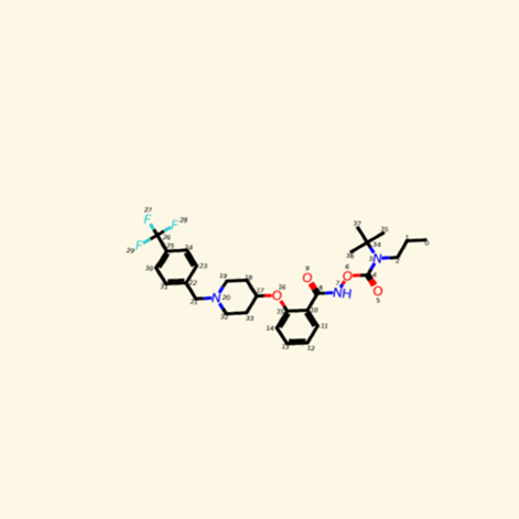 CCCN(C(=O)ONC(=O)c1ccccc1OC1CCN(Cc2ccc(C(F)(F)F)cc2)CC1)C(C)(C)C